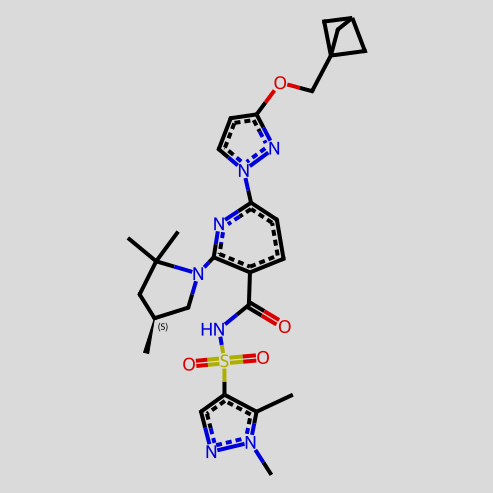 Cc1c(S(=O)(=O)NC(=O)c2ccc(-n3ccc(OCC45CC(C4)C5)n3)nc2N2C[C@@H](C)CC2(C)C)cnn1C